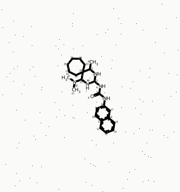 CC1NC(NC(=O)Nc2ccc3ccccc3c2)NC(N(C)C)C12CCCCCC2